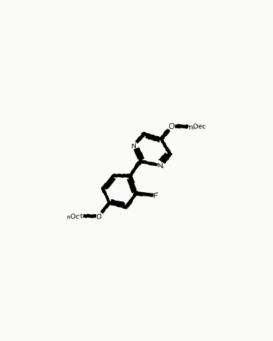 CCCCCCCCCCOc1cnc(-c2ccc(OCCCCCCCC)cc2F)nc1